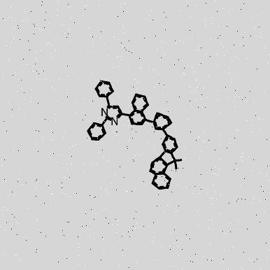 CC1(C)c2ccc(-c3cccc(-c4ccc(-c5cc(-c6ccccc6)nc(-c6ccccc6)n5)c5ccccc45)c3)cc2-c2ccc3ccccc3c21